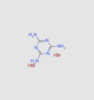 Br.Br.Nc1nc(N)nc(N)n1